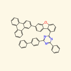 c1ccc(-c2ccc(-c3nc(-c4ccccc4)nc(-c4cccc5oc6cc(-c7ccc8c9ccccc9c9ccccc9c8c7)ccc6c45)n3)cc2)cc1